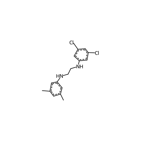 Cc1cc(C)cc(NCCNc2cc(Cl)cc(Cl)c2)c1